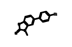 CCc1ccc(-c2ccc3oc(=O)n(C)c3c2)cc1